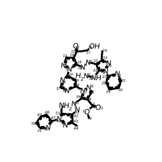 COC(=O)c1cnn(-c2cc(-n3ncc(C(=O)CO)c3/N=N/c3c(C)nn(-c4ccccn4)c3NN)ncn2)c1/N=N/c1c(C)nn(-c2ccccn2)c1N